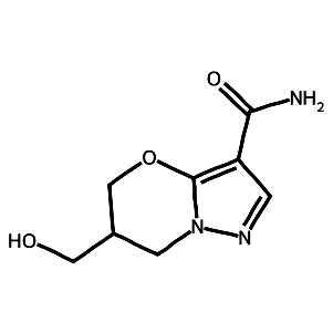 NC(=O)c1cnn2c1OCC(CO)C2